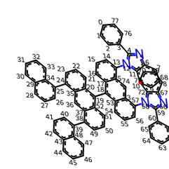 c1ccc(-c2nc3ccccc3n2-c2cccc3c(-c4c5cccc(-c6cccc7ccccc67)c5cc5c(-c6cccc7ccccc67)cccc45)c4cccc(-n5c(-c6ccccc6)nc6ccccc65)c4cc23)cc1